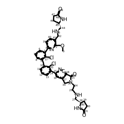 COc1nc(-c2cccc(-c3cccc(-c4cc5c(cn4)C(=O)N(CCNC[C@H]4CCC(=O)N4)C5)c3Cl)c2Cl)ccc1CNC[C@@H]1CCC(=O)N1